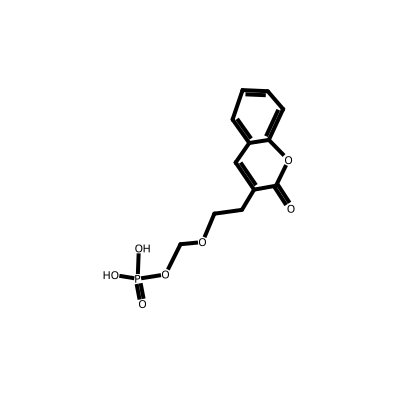 O=c1oc2ccccc2cc1CCOCOP(=O)(O)O